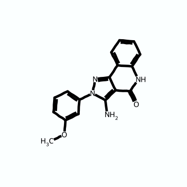 COc1cccc(-n2nc3c(c2N)c(=O)[nH]c2ccccc23)c1